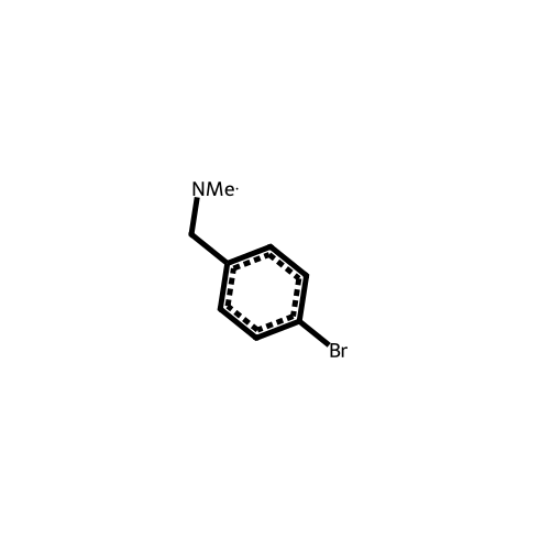 C[N]Cc1ccc(Br)cc1